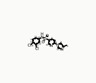 Cc1cn(-c2ccc(S(=O)(=O)Nc3ccc(Cl)c(Cl)c3)cn2)cn1